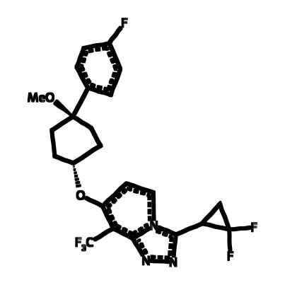 CO[C@]1(c2ccc(F)cc2)CC[C@@H](Oc2ccn3c(C4CC4(F)F)nnc3c2C(F)(F)F)CC1